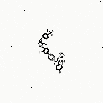 C[C@@H](N1CCN(c2ccc(-n3cnn(Cc4ccc(C(F)(F)F)cc4)c3=O)c(F)c2)CC1)[C@](O)(Cn1cncn1)c1ccc(F)cc1F